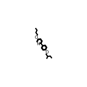 CCCCOc1ccc(-c2ccc(OCC(C)CC)cc2)nc1